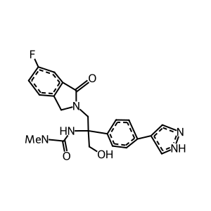 CNC(=O)NC(CO)(CN1Cc2ccc(F)cc2C1=O)c1ccc(-c2cn[nH]c2)cc1